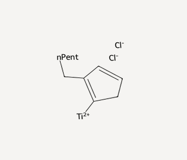 CCCCCCC1=[C]([Ti+2])CC=C1.[Cl-].[Cl-]